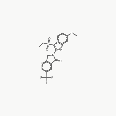 CCS(=O)(=O)c1c(N2Cc3ncc(C(F)(F)F)cc3C2=O)nc2cc(OC)ccn12